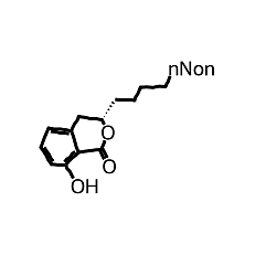 CCCCCCCCCCCCC[C@H]1Cc2cccc(O)c2C(=O)O1